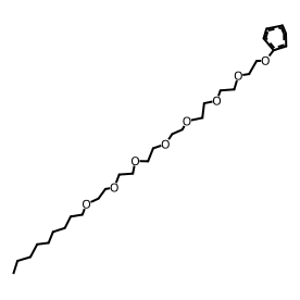 CCCCCCCCCOCCOCCOCCOCCOCCOCCOCCOc1ccccc1